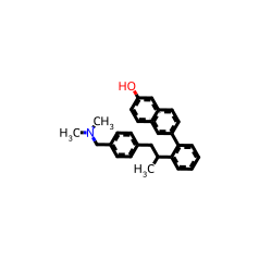 CC(Cc1ccc(CN(C)C)cc1)c1ccccc1-c1ccc2cc(O)ccc2c1